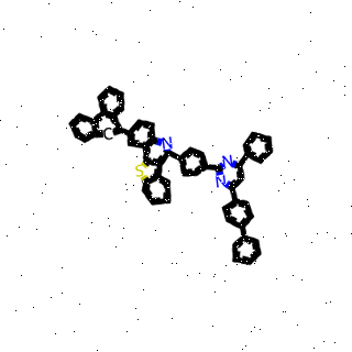 c1ccc(-c2ccc(-c3cc(-c4ccccc4)nc(-c4ccc(-c5nc6ccc(-c7cc8ccccc8c8ccccc78)cc6c6sc7ccccc7c56)cc4)n3)cc2)cc1